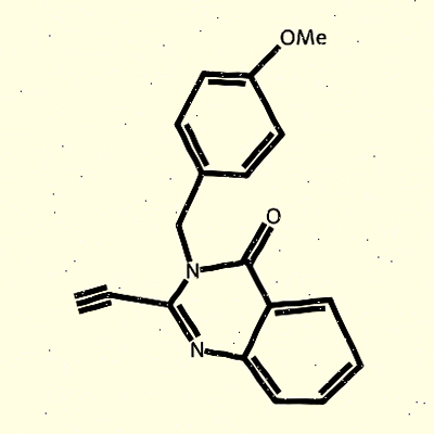 C#Cc1nc2ccccc2c(=O)n1Cc1ccc(OC)cc1